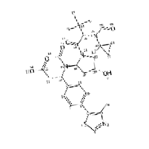 Cc1ncsc1-c1ccc([C@H](CC(=O)O)N(C=O)[C@@H]2C[C@@H](O)CN2C(=O)[C@@H](N(C=O)C2(F)CC2)C(C)(C)C)cc1